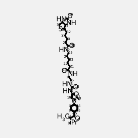 CC(C)[C@@H](C)C(=O)c1ccc(-[n+]2cc(NC(=O)NCCNC(=O)CCCCCNC(=O)CCCCC3SCC4NC(=O)NC43)on2)cc1